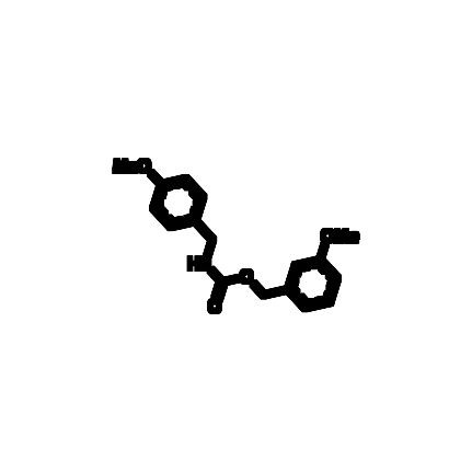 COc1ccc(CNC(=O)OCc2cccc(OC)c2)cc1